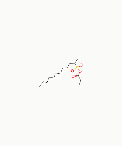 CCCCCCCCCCC(C)S(=O)(=O)OC(=O)CC